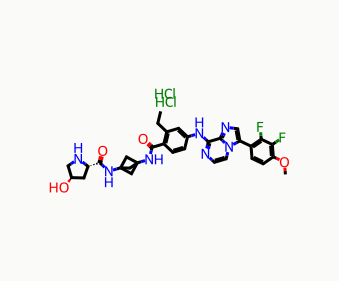 CCc1cc(Nc2nccn3c(-c4ccc(OC)c(F)c4F)cnc23)ccc1C(=O)NC12CC(NC(=O)[C@@H]3C[C@@H](O)CN3)(C1)C2.Cl.Cl